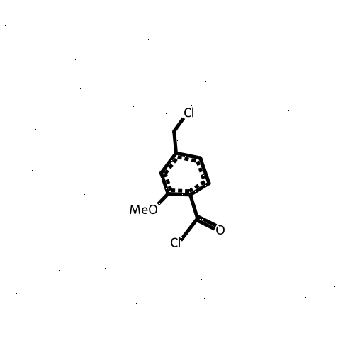 COc1cc(CCl)ccc1C(=O)Cl